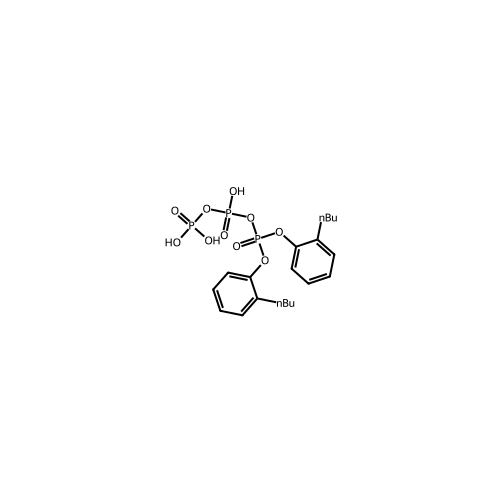 CCCCc1ccccc1OP(=O)(Oc1ccccc1CCCC)OP(=O)(O)OP(=O)(O)O